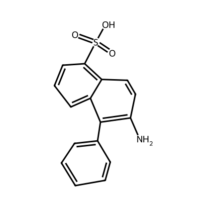 Nc1ccc2c(S(=O)(=O)O)cccc2c1-c1ccccc1